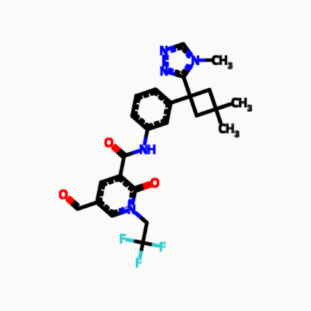 Cn1cnnc1C1(c2cccc(NC(=O)c3cc(C=O)cn(CC(F)(F)F)c3=O)c2)CC(C)(C)C1